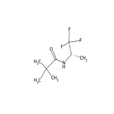 C[C@H](NC(=O)C(C)(C)C)C(F)(F)F